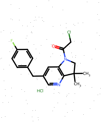 CC1(C)CN(C(=O)CCl)c2cc(Cc3ccc(F)cc3)cnc21.Cl